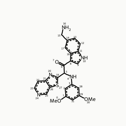 COc1cc(NC(C(=O)c2c[nH]c3ccc(CN)cc23)c2nc3ccncc3s2)cc(OC)c1